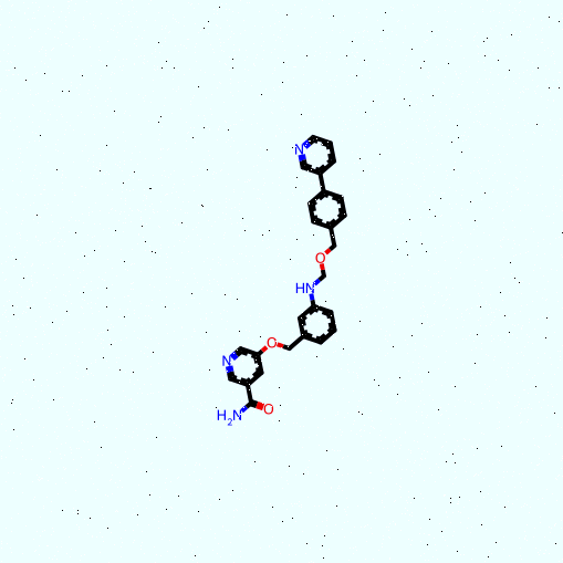 NC(=O)c1cncc(OCc2cccc(NCOCc3ccc(-c4cccnc4)cc3)c2)c1